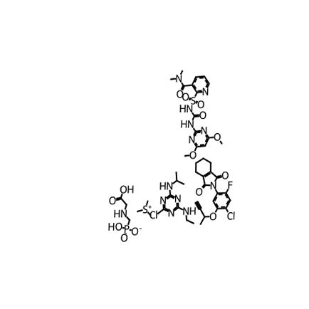 C#CC(C)Oc1cc(N2C(=O)C3=C(CCCC3)C2=O)c(F)cc1Cl.CCNc1nc(Cl)nc(NC(C)C)n1.COc1cc(OC)nc(NC(=O)NS(=O)(=O)c2ncccc2C(=O)N(C)C)n1.C[S+](C)C.O=C(O)CNCP(=O)([O-])O